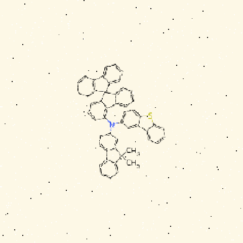 CC1(C)c2ccccc2-c2ccc(N(c3ccc4sc5ccccc5c4c3)c3cccc4c3-c3ccccc3C43C4=C(C=CCC4)c4ccccc43)cc21